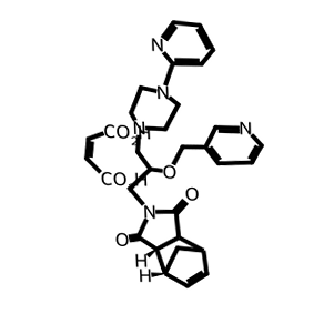 O=C(O)/C=C\C(=O)O.O=C1C2C3C=C[C@@H](C3)[C@@H]2C(=O)N1CC(CN1CCN(c2ccccn2)CC1)OCc1cccnc1